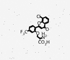 N[C@@H](COc1cc(C(F)(F)F)ccc1-c1cc(=O)c2cccc(Cl)c2o1)C(=O)O